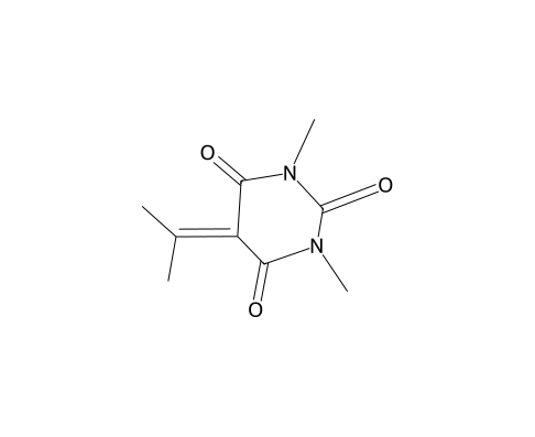 CC(C)=C1C(=O)N(C)C(=O)N(C)C1=O